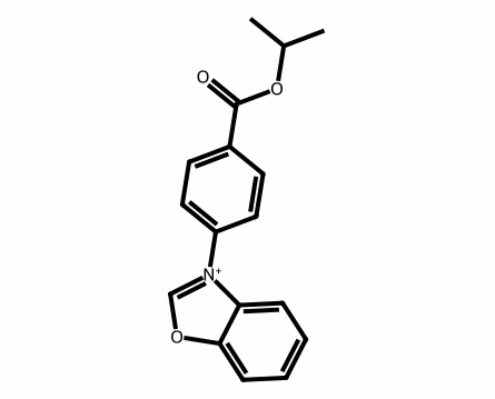 CC(C)OC(=O)c1ccc(-[n+]2coc3ccccc32)cc1